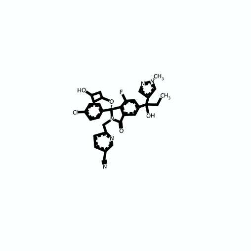 CCC(O)(c1cc(F)c2c(c1)C(=O)N(Cc1ccc(C#N)cn1)[C@@]2(OC1CC(O)C1)c1ccc(Cl)cc1)c1cnn(C)c1